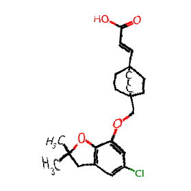 CC1(C)Cc2cc(Cl)cc(OCC34CCC(C=CC(=O)O)(CC3)CC4)c2O1